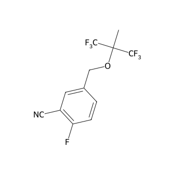 CC(OCc1ccc(F)c(C#N)c1)(C(F)(F)F)C(F)(F)F